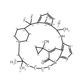 C[C@H]1Nc2ncnc3c2cc(C2(C#N)CC2)c(=O)n3CCCCC(C)(C)CN2CCC(CC2)C(F)(F)c2cccc1c2F